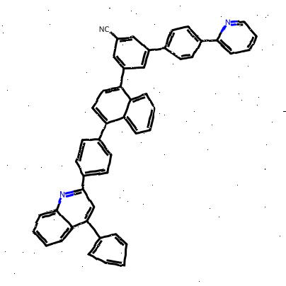 N#Cc1cc(-c2ccc(-c3ccccn3)cc2)cc(-c2ccc(-c3ccc(-c4cc(-c5ccccc5)c5ccccc5n4)cc3)c3ccccc23)c1